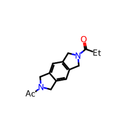 CCC(=O)N1Cc2cc3c(cc2C1)CN(C(C)=O)C3